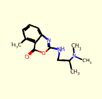 Cc1cccc2nc(NCC(C)N(C)C)oc(=O)c12